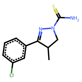 CC1CN(C(N)=S)N=C1c1cccc(Cl)c1